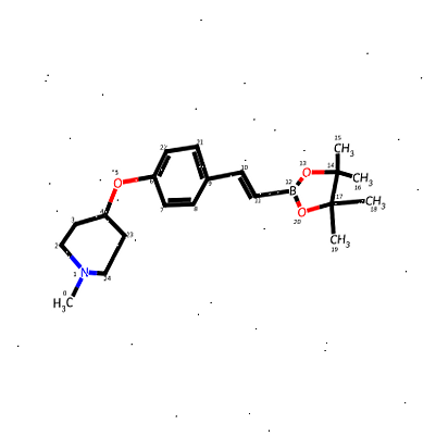 CN1CCC(Oc2ccc(C=CB3OC(C)(C)C(C)(C)O3)cc2)CC1